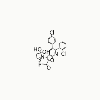 CC(C)C(=O)c1oc2nc(-c3ccccc3Cl)c(-c3ccc(Cl)cc3)cc2c1N1SCCC1(O)O